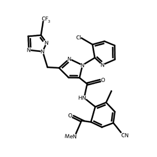 CNC(=O)c1cc(C#N)cc(C)c1NC(=O)c1cc(Cn2ncc(C(F)(F)F)n2)nn1-c1ncccc1Cl